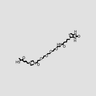 CC(S)C(=O)/C=C/CN1CCN(C(=O)CCOCCOCCOCCOCCNC(=O)CCCC[C@@H]2SCC3NC(=O)NC32)CC1